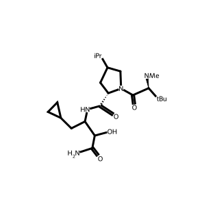 CN[C@H](C(=O)N1CC(C(C)C)C[C@H]1C(=O)NC(CC1CC1)C(O)C(N)=O)C(C)(C)C